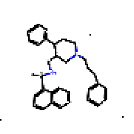 C[C@@H](NCC1CN(CCCc2ccccc2)CCC1c1ccccc1)c1cccc2ccccc12